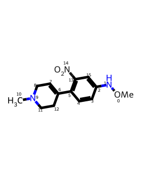 CONc1ccc(C2=CCN(C)CC2)c([N+](=O)[O-])c1